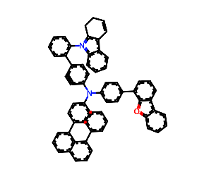 c1c(-c2ccccc2-n2c3c(c4ccccc42)C=CCC3)ccc(N(c2ccc(-c3cccc4c3oc3ccccc34)cc2)c2ccc(-c3cccc4cccc(-c5ccccc5)c34)cc2)c#1